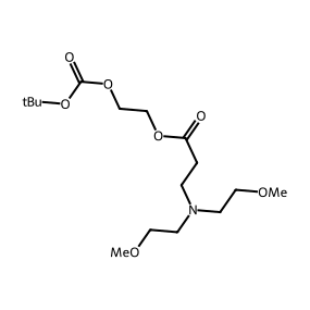 COCCN(CCOC)CCC(=O)OCCOC(=O)OC(C)(C)C